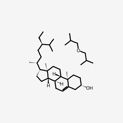 CC(C)COCC(C)C.CC[C@H](CC[C@@H](C)[C@H]1CC[C@H]2[C@@H]3CC=C4C[C@@H](O)CC[C@]4(C)[C@H]3CC[C@]12C)C(C)C